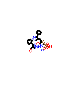 O=C1NC(S(=O)(=O)O)SC1=Cc1c[nH]nc1-c1ccccc1.O=Cc1c[nH]nc1-c1ccccc1